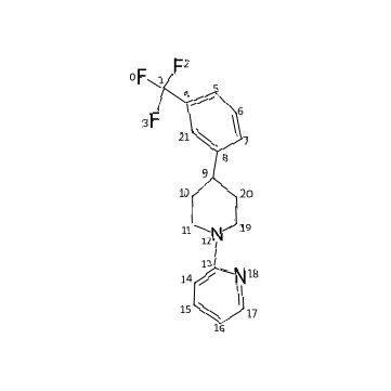 FC(F)(F)c1cccc(C2CCN(c3ccccn3)CC2)c1